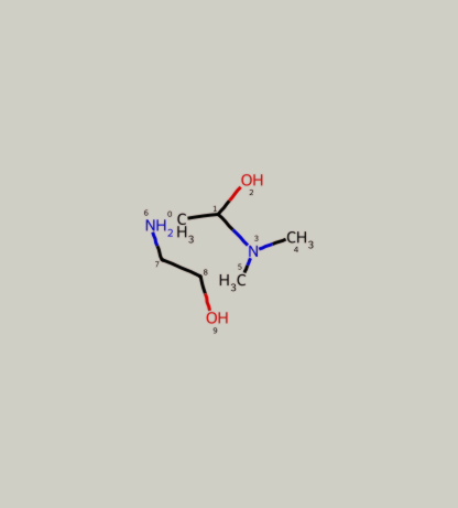 CC(O)N(C)C.NCCO